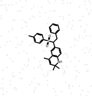 CC1=CC(C)(C)Nc2ccc(C(Cc3ccccc3)S(=O)(=O)c3ccc(C)cc3)cc21